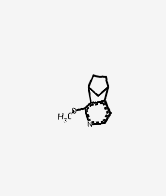 COc1nccc2c1C1CCC2C1